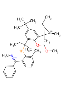 CCC1[C@@H](C)C1(C)c1cc(C(C)(C)C)cc(C(C)(CC)Pc2c(C)cccc2/C(=N/C)c2ccccc2)c1OCOC